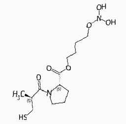 C[C@H](CS)C(=O)N1CCC[C@H]1C(=O)OCCCCON(O)O